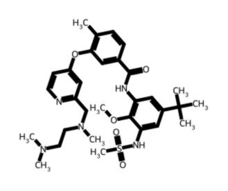 COc1c(NC(=O)c2ccc(C)c(Oc3ccnc(CN(C)CCN(C)C)c3)c2)cc(C(C)(C)C)cc1NS(C)(=O)=O